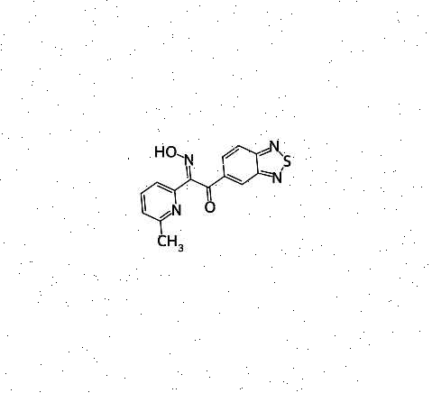 Cc1cccc(C(=NO)C(=O)c2ccc3nsnc3c2)n1